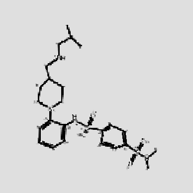 CC(C)CNCC1CCN(c2ccccc2NS(=O)(=O)c2ccc(S(=O)(=O)N(C)C)cc2)CC1